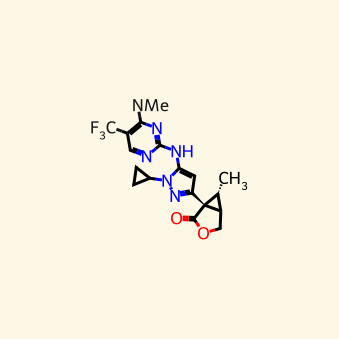 CNc1nc(Nc2cc([C@]34C(=O)OCC3[C@H]4C)nn2C2CC2)ncc1C(F)(F)F